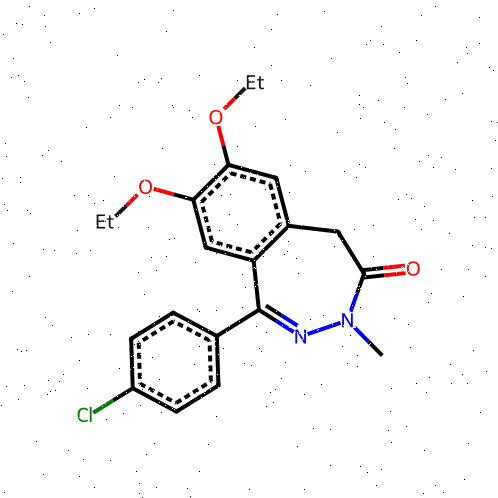 CCOc1cc2c(cc1OCC)C(c1ccc(Cl)cc1)=NN(C)C(=O)C2